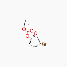 CC(C)(C)OC(=O)Oc1cccc(Br)cc1=O